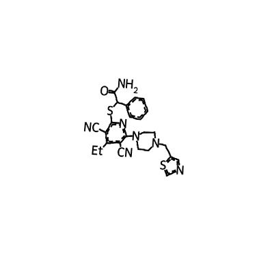 CCc1c(C#N)c(SC(C(N)=O)c2ccccc2)nc(N2CCN(Cc3cncs3)CC2)c1C#N